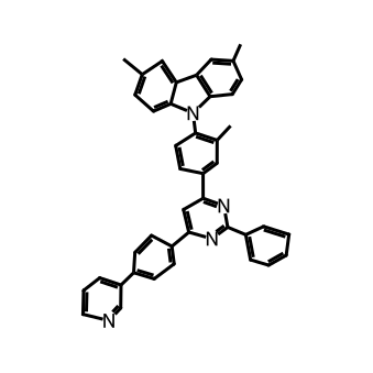 Cc1ccc2c(c1)c1cc(C)ccc1n2-c1ccc(-c2cc(-c3ccc(-c4cccnc4)cc3)nc(-c3ccccc3)n2)cc1C